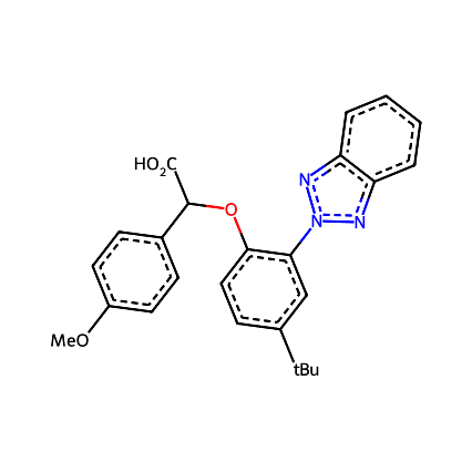 COc1ccc(C(Oc2ccc(C(C)(C)C)cc2-n2nc3ccccc3n2)C(=O)O)cc1